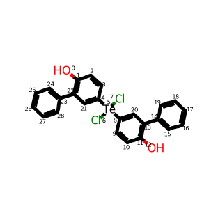 Oc1ccc([Te](Cl)(Cl)c2ccc(O)c(-c3ccccc3)c2)cc1-c1ccccc1